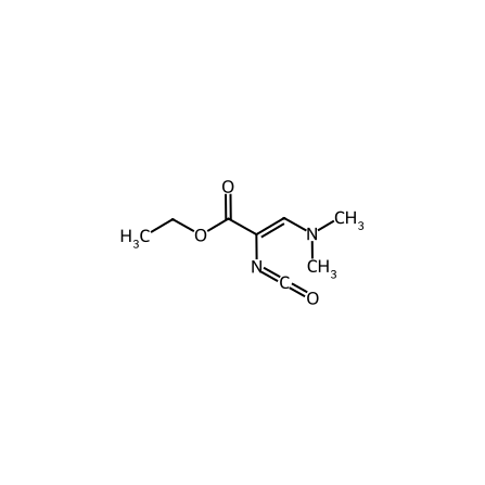 CCOC(=O)C(=CN(C)C)N=C=O